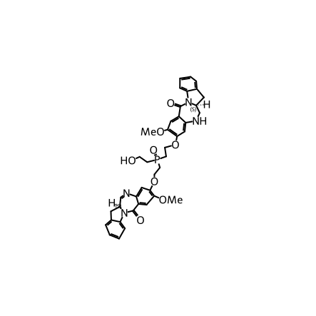 COc1cc2c(cc1OCCP(=O)(CCO)CCOc1cc3c(cc1OC)C(=O)N1c4ccccc4C[C@H]1CN3)N=C[C@@H]1Cc3ccccc3N1C2=O